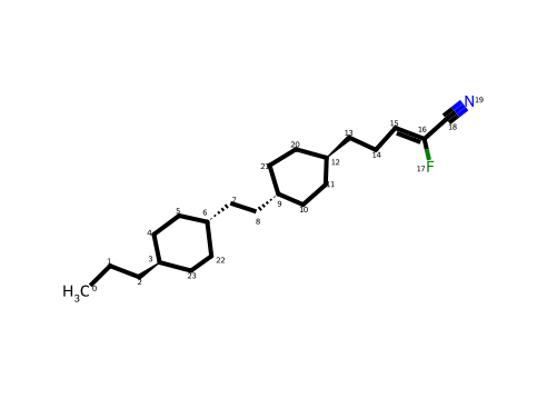 CCC[C@H]1CC[C@H](CC[C@H]2CC[C@H](CCC=C(F)C#N)CC2)CC1